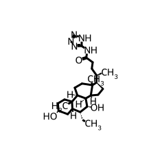 CC[C@H]1[C@@H](O)[C@@H]2[C@@H]3CC[C@H]([C@H](C)CCC(=O)Nc4nnn[nH]4)C3(C)CC[C@@H]2C2(C)CC[C@@H](O)C[C@@H]12